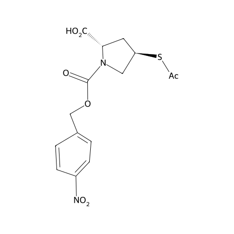 CC(=O)S[C@@H]1C[C@@H](C(=O)O)N(C(=O)OCc2ccc([N+](=O)[O-])cc2)C1